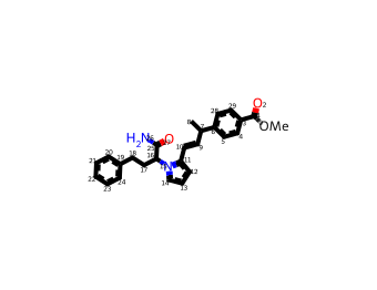 COC(=O)c1ccc(C(C)C=Cc2cccn2C(CCc2ccccc2)C(N)=O)cc1